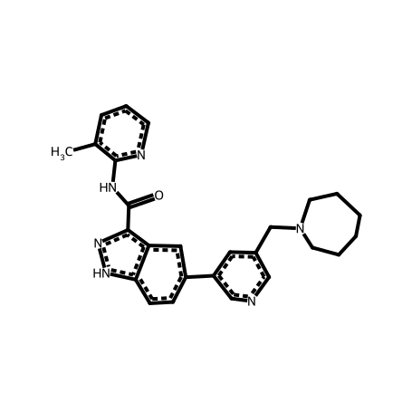 Cc1cccnc1NC(=O)c1n[nH]c2ccc(-c3cncc(CN4CCCCCC4)c3)cc12